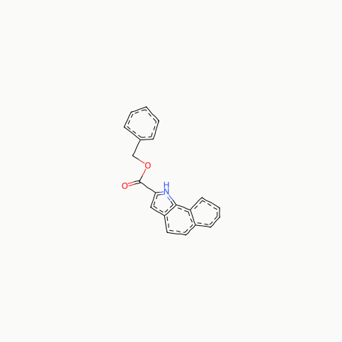 O=C(OCc1ccccc1)c1cc2ccc3ccccc3c2[nH]1